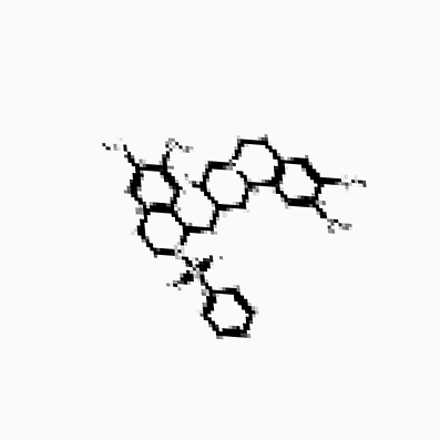 CCC1CN2CCc3cc(OC)c(OC)cc3C2CC1CC1c2cc(OC)c(OC)cc2CCN1S(=O)(=O)c1ccccc1